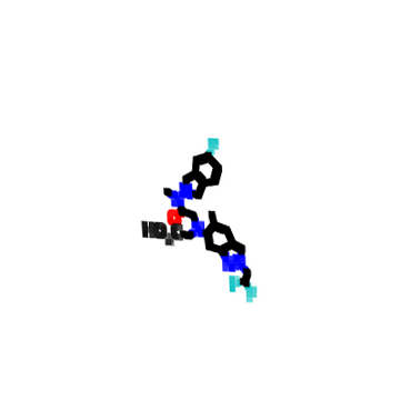 Cc1cc2cn(CC(F)F)nc2cc1N(CC(=O)O)CC(=O)N(C)N1Cc2ccc(F)cc2C1